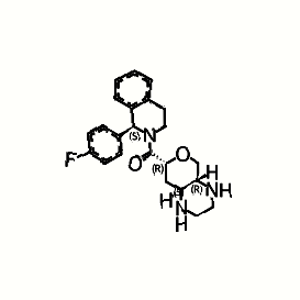 O=C([C@H]1C[C@@H]2NCCN[C@H]2CO1)N1CCc2ccccc2[C@@H]1c1ccc(F)cc1